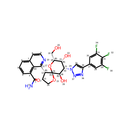 NC(=O)c1cccc2ccnc([C@H]3CCO[C@]34O[C@H](CO)[C@H](O)[C@H](n3cc(-c5cc(F)c(F)c(F)c5)nn3)[C@H]4O)c12